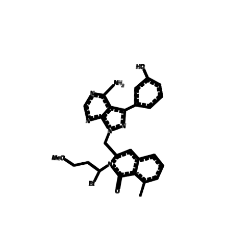 CCC(CCOC)n1c(Cn2nc(-c3cccc(O)c3)c3c(N)ncnc32)cc2cccc(C)c2c1=O